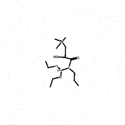 CCCN(C(=O)C(O)C[N+](C)(C)C)[SiH](OCC)OCC